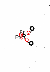 CCOC1(OCC)C[C@H](COCc2ccccc2)[C@H]1COCc1ccccc1